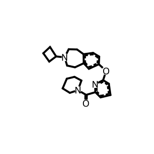 O=C(c1cccc(Oc2ccc3c(c2)CCN(C2CCC2)CC3)n1)N1CCCCC1